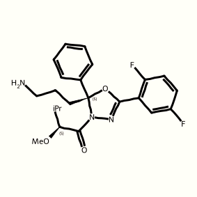 CO[C@H](C(=O)N1N=C(c2cc(F)ccc2F)O[C@@]1(CCCN)c1ccccc1)C(C)C